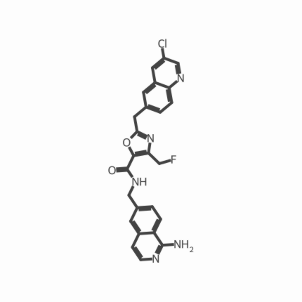 Nc1nccc2cc(CNC(=O)c3oc(Cc4ccc5ncc(Cl)cc5c4)nc3CF)ccc12